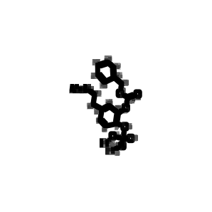 CCOP(=O)(OCC)Oc1ccc(CCNC)cc1OC(=O)OCc1ccccc1